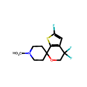 O=C(O)N1CCC2(CC1)OCC(F)(F)c1cc(F)sc12